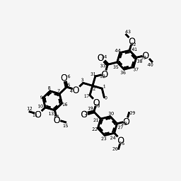 CCC(COC(=O)c1ccc(OC)c(OC)c1)(COC(=O)c1ccc(OC)c(OC)c1)COC(=O)c1ccc(OC)c(OC)c1